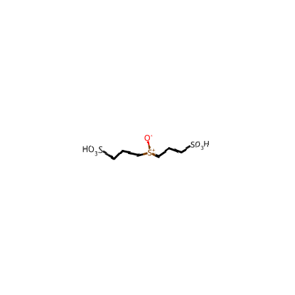 O=S(=O)(O)CCC[S+]([O-])CCCS(=O)(=O)O